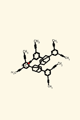 CC#Cc1cc(C#CC)cc(C23CC4CC(c5cc(C#CC)cc(C#CC)c5)(C2)CC(C25CC6CC(c7cc(C#CC)cc(C#CC)c7)(CC(c7cc(C#CC)cc(C#CC)c7)(C6)C2)C5)(C4)C3)c1